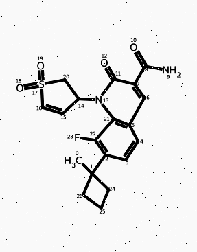 CC1(c2ccc3cc(C(N)=O)c(=O)n(C4C=CS(=O)(=O)C4)c3c2F)CCC1